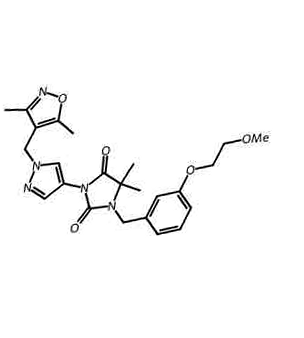 COCCOc1cccc(CN2C(=O)N(c3cnn(Cc4c(C)noc4C)c3)C(=O)C2(C)C)c1